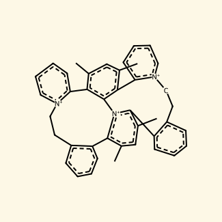 Cc1cc(C)c2c3c1-c1cccc[n+]1CCc1ccccc1-c1c(C)cc(C)c([n+]1-3)-c1ccccc1CC[n+]1ccccc1-2